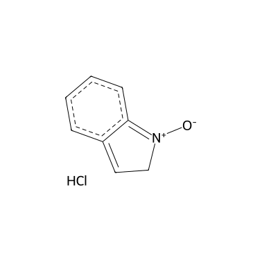 Cl.[O-][N+]1=c2ccccc2=CC1